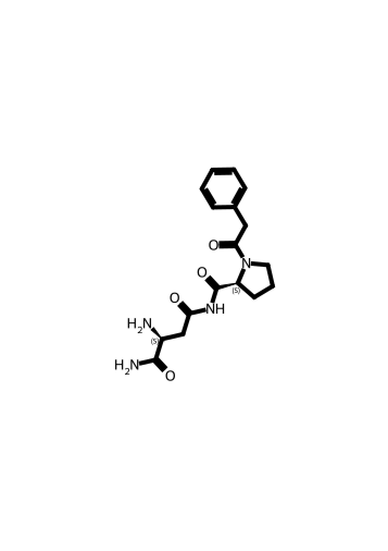 NC(=O)[C@@H](N)CC(=O)NC(=O)[C@@H]1CCCN1C(=O)Cc1ccccc1